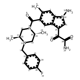 Cc1cc2c(cc1C(=O)N1C[C@H](C)N(Cc3ccc(F)cc3)C[C@H]1C)c(C(=O)C(N)=O)cn2N